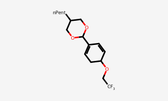 CCCCCC1COC(C2=CCC(OCC(F)(F)F)C=C2)OC1